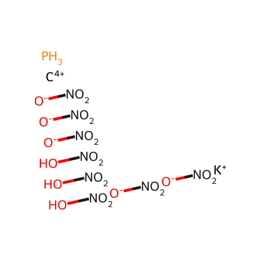 O=[N+]([O-])O.O=[N+]([O-])O.O=[N+]([O-])O.O=[N+]([O-])[O-].O=[N+]([O-])[O-].O=[N+]([O-])[O-].O=[N+]([O-])[O-].O=[N+]([O-])[O-].P.[C+4].[K+]